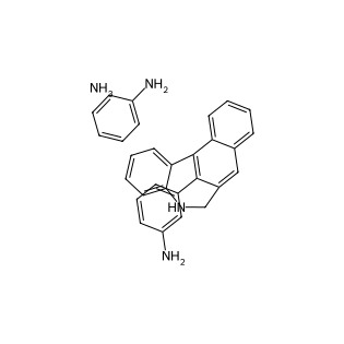 N.Nc1cccc(-c2c3cc4ccccc4c2-c2ccccc2NC3)c1.Nc1ccccc1